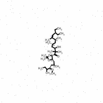 CCC(/C=C(/C)[C@@H](C)C[C@@H](C)CC(O)C(C)(C)C(=O)[C@@H]1OC(C)(C)O[C@@H]1C[C@@H](C)C[C@@H](OC)C(C)CC)CC